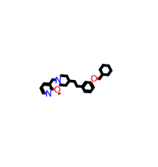 COc1ncccc1CN1CCC(CCc2cccc(OCC3CCCCC3)c2)CC1